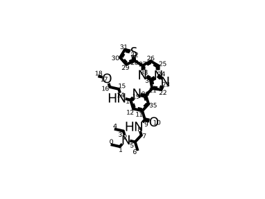 CCN(CC)C(C)CNC(=O)c1cc(NCCOC)nc(-c2cnn3ccc(-c4cccs4)nc23)c1